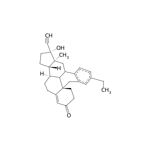 C#C[C@]1(O)CC[C@H]2[C@@H]3CCC4=CC(=O)CC[C@@]45Cc4cc(CC)ccc4C(C[C@@]21C)C35